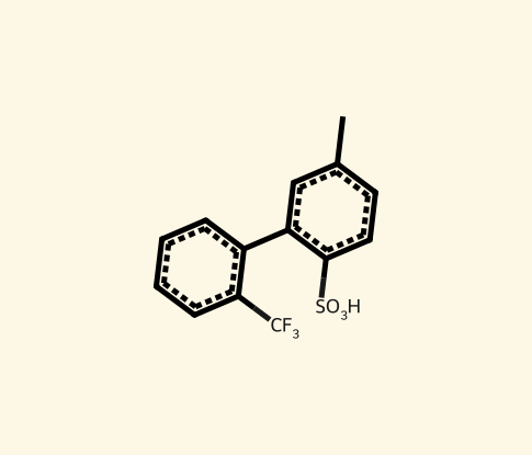 Cc1ccc(S(=O)(=O)O)c(-c2ccccc2C(F)(F)F)c1